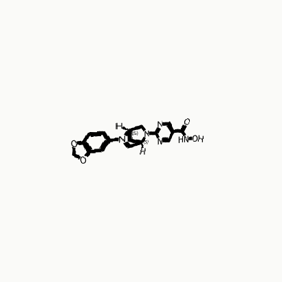 O=C(NO)c1cnc(N2C[C@@H]3C[C@H]2CN3c2ccc3c(c2)OCO3)nc1